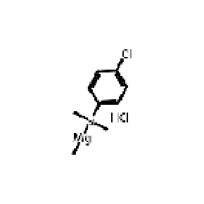 Cl.[CH3][Mg][Si](C)(C)c1ccc(Cl)cc1